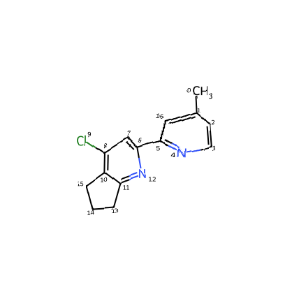 Cc1ccnc(-c2cc(Cl)c3c(n2)CCC3)c1